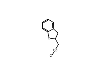 [Cl][Hg][CH2]C1Cc2ccccc2O1